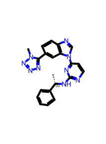 C[C@H](Nc1nccc(-n2cnc3ccc(-c4nnnn4C)cc32)n1)c1ccccc1